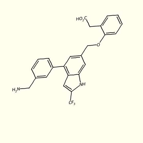 NCc1cccc(-c2cc(COc3ccccc3CC(=O)O)cc3[nH]c(C(F)(F)F)cc23)c1